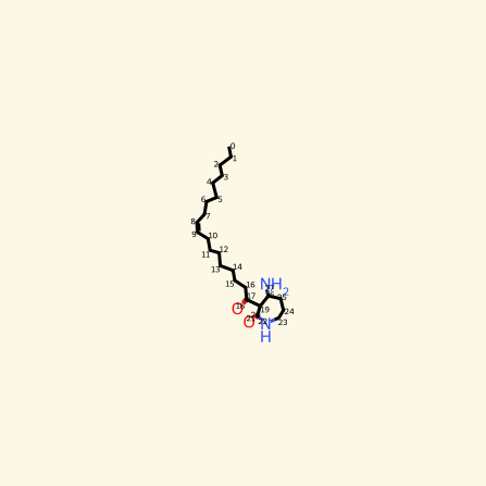 CCCCCCCC/C=C\CCCCCCCC(=O)C1C(=O)NCCCC1N